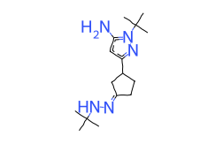 CC(C)(C)N/N=C1/CCC(c2cc(N)n(C(C)(C)C)n2)C1